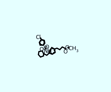 COC(=O)CCCc1ccc(CC2(NS(=O)(=O)c3ccc(Cl)cc3)CCCCC2)cc1